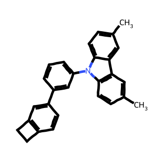 Cc1ccc2c(c1)c1cc(C)ccc1n2-c1cccc(-c2ccc3c(c2)CC3)c1